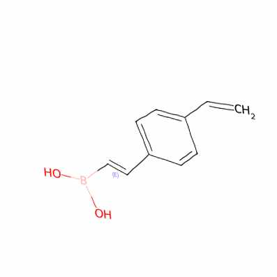 C=Cc1ccc(/C=C/B(O)O)cc1